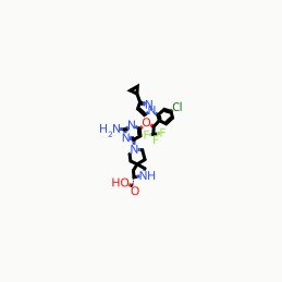 Nc1nc(OC(c2ccc(Cl)cc2-n2ccc(C3CC3)n2)C(F)(F)F)cc(N2CCC3(CC2)CN[C@H](C(=O)O)C3)n1